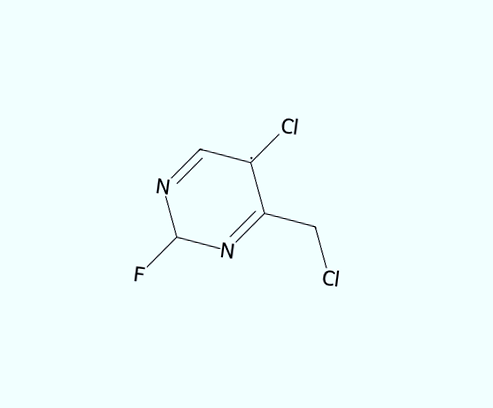 FC1N=C[C](Cl)C(CCl)=N1